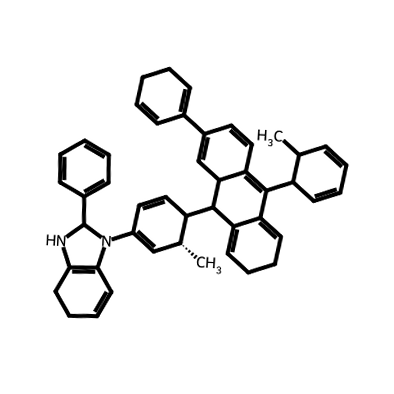 CC1C=CC=CC1C1=C2C=CC(C3=CCCC=C3)=CC2C(C2C=CC(N3C4=C(CCC=C4)NC3c3ccccc3)=C[C@H]2C)C2=CCCC=C21